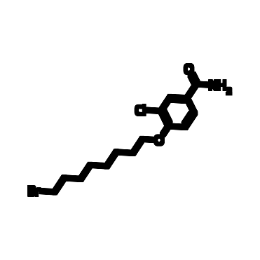 NC(=O)c1ccc(OCCCCCCCCBr)c(Cl)c1